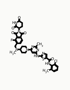 Cc1nc(Nc2ncc(C(=O)Nc3c(C)cccc3Cl)s2)cc(N2CCC(N(C)Cc3ccc4c(c3F)C(=O)N(C3CCC(=O)NC3=O)C4=O)CC2)n1